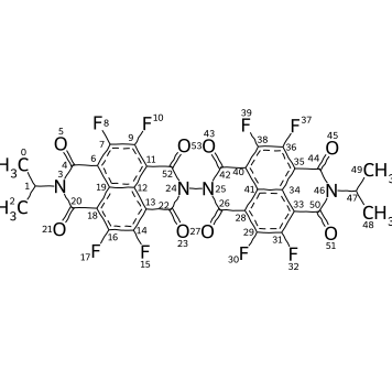 CC(C)N1C(=O)c2c(F)c(F)c3c4c(c(F)c(F)c(c24)C1=O)C(=O)N(N1C(=O)c2c(F)c(F)c4c5c(c(F)c(F)c(c25)C1=O)C(=O)N(C(C)C)C4=O)C3=O